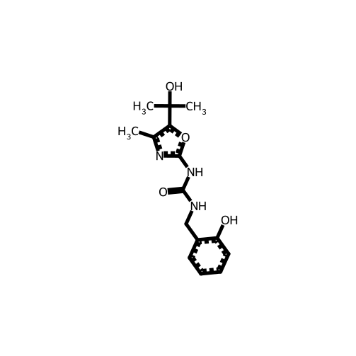 Cc1nc(NC(=O)NCc2ccccc2O)oc1C(C)(C)O